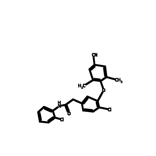 Cc1cc(C#N)cc(C)c1Oc1cc(CC(=O)Nc2ccccc2Cl)ccc1Cl